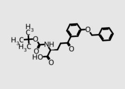 CC(C)(C)OC(=O)N[C@@H](CCC(=O)c1cccc(OCc2ccccc2)c1)C(=O)O